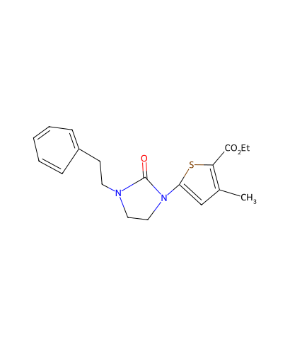 CCOC(=O)c1sc(N2CCN(CCc3ccccc3)C2=O)cc1C